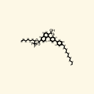 CCCCCCCCCCc1ccc(-c2ccc(-c3c(C(=O)O)ccc4cc(C(=O)OC(CCCCCC)C(F)(F)F)ccc34)cc2)cc1